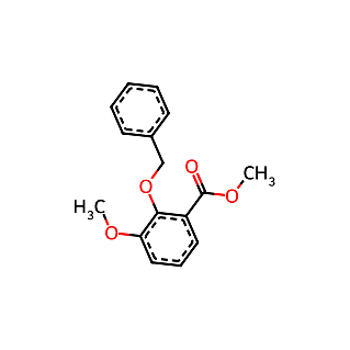 COC(=O)c1cccc(OC)c1OCc1ccccc1